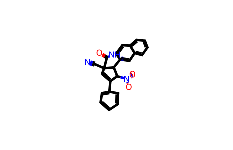 N#CC1(C(N)=O)C=C(c2ccccc2)C([N+](=O)[O-])C1c1ccc2ccccc2c1